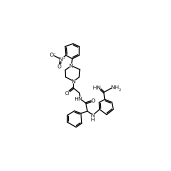 N=C(N)c1cccc(NC(C(=O)NCC(=O)N2CCN(c3ccccc3[N+](=O)[O-])CC2)c2ccccc2)c1